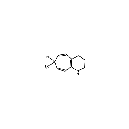 CC(C)C1(C)C=CC2=C(C=C1)NCCC2